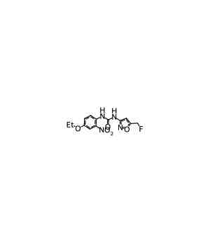 CCOc1ccc(NC(=O)Nc2cc(CF)on2)c([N+](=O)[O-])c1